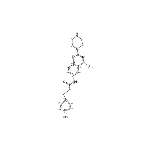 Cc1nc(N2CCNCC2)nc2ccc(NC(=O)CCc3ccc(Cl)cc3)cc12